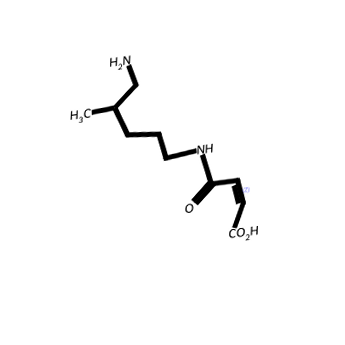 CC(CN)CCCNC(=O)/C=C\C(=O)O